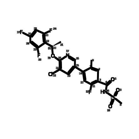 Cc1cc(C(=O)NS(C)(=O)=O)c(F)cc1-c1cnc(O[C@@H](C)c2c(F)cc(F)cc2F)c(Cl)c1